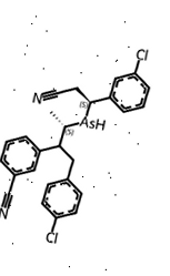 C[C@H]([AsH][C@@H](CC#N)c1cccc(Cl)c1)C(Cc1ccc(Cl)cc1)c1cccc(C#N)c1